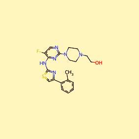 Cc1ccccc1-c1csc(Nc2nc(N3CCN(CCO)CC3)ncc2F)n1